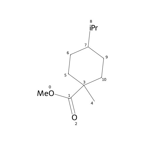 COC(=O)C1(C)CCC(C(C)C)CC1